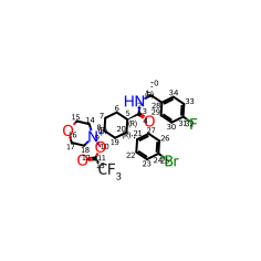 C[C@@H](NC(=O)[C@@H]1CC[C@@H]([N+]2(OC(=O)C(F)(F)F)CCOCC2)C[C@H]1c1ccc(Br)cc1)c1ccc(F)cc1